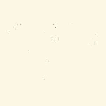 COCCOc1cc(Oc2ccc(S(C)(=O)=O)cc2)cc(C(=O)Nc2ncc(Oc3ccc(C(=O)O)cc3)s2)c1